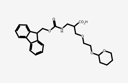 O=C(NCC(COCCOC1CCCCO1)C(=O)O)OCC1c2ccccc2-c2ccccc21